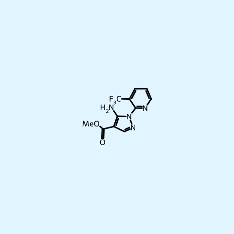 COC(=O)c1cnn(-c2ncccc2C(F)(F)F)c1N